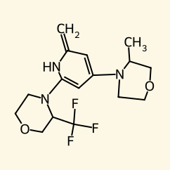 C=C1C=C(N2CCOCC2C)C=C(N2CCOCC2C(F)(F)F)N1